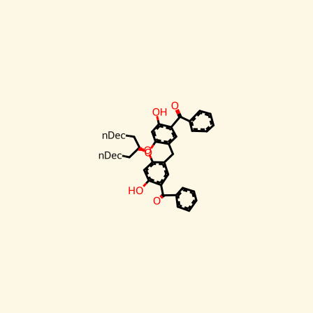 CCCCCCCCCCCCOc1cc(O)c(C(=O)c2ccccc2)cc1Cc1cc(C(=O)c2ccccc2)c(O)cc1OCCCCCCCCCCCC